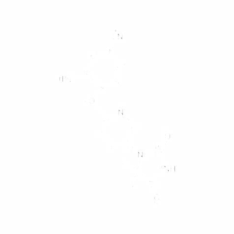 CC(C)(C)c1cc(C#N)ccc1Oc1ccc(N2C(=O)NC(=O)C2(C)C)cn1